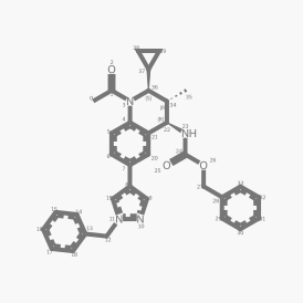 CC(=O)N1c2ccc(-c3cnn(Cc4ccccc4)c3)cc2[C@H](NC(=O)OCc2ccccc2)[C@@H](C)[C@@H]1C1CC1